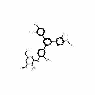 COc1ccc(-c2cc(-c3ccc(O)c(C)c3)cc(-c3ccc(OC4O[C@H](CO)CC(N=O)[C@@H]4N=O)c(C)c3)c2)cc1C